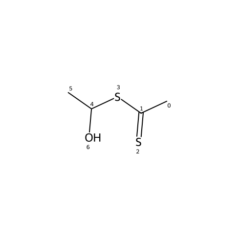 CC(=S)SC(C)O